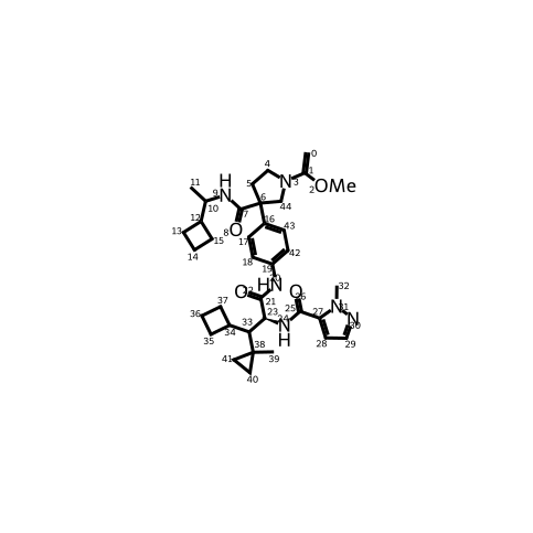 C=C(OC)N1CCC(C(=O)NC(C)C2CCC2)(c2ccc(NC(=O)[C@@H](NC(=O)c3ccnn3C)C(C3CCC3)C3(C)CC3)cc2)C1